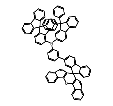 c1ccc(C2(c3ccccc3)c3ccccc3-c3ccc(N(c4cccc(-c5ccc6c(c5)C5(c7ccccc7-6)c6ccc7ccccc7c6Oc6c5ccc5ccccc65)c4)c4cccc5c4-c4ccccc4C54c5ccccc5-c5ccccc54)cc32)cc1